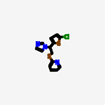 Clc1ccc(C(CSc2ccccn2)n2ccnc2)s1